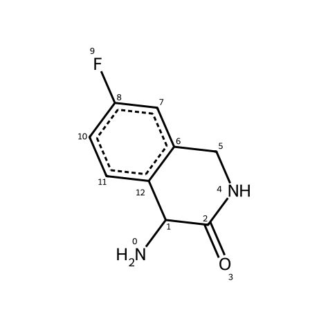 NC1C(=O)NCc2cc(F)ccc21